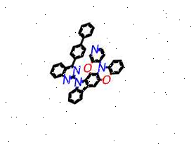 c1ccc(-c2ccc(-c3nc(-n4c5ccccc5c5cc6c7c(c54)Oc4cnccc4N7c4ccccc4O6)nc4ccccc34)cc2)cc1